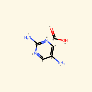 Nc1cnc(N)nc1.O=CO